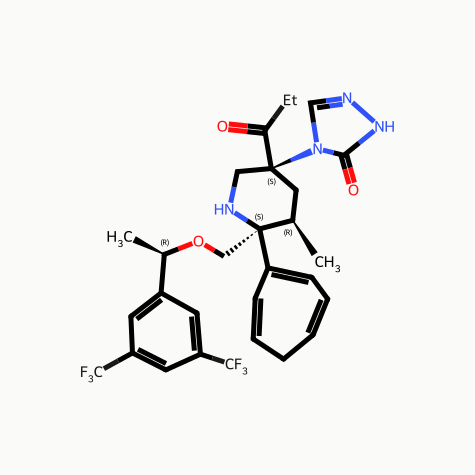 CCC(=O)[C@@]1(n2cn[nH]c2=O)CN[C@](CO[C@H](C)c2cc(C(F)(F)F)cc(C(F)(F)F)c2)(C2=CC=CCC=C2)[C@H](C)C1